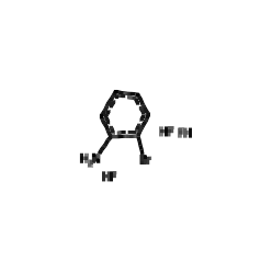 F.F.F.Nc1ccccc1Br